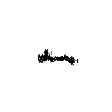 C#Cc1c(F)ccc2cccc(-c3ncc4c(N5CC6CCC(C5)N6)nc(OCC5(CN6CCC7(CC6)CC(N6CCC(c8ccc(NC9CCC(=O)NC9=O)cc8F)CC6)C7)CC5)nc4c3F)c12